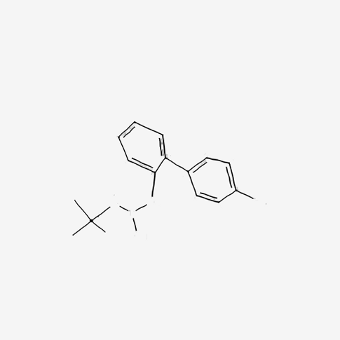 CC(C)(C)OP(O)Oc1ccccc1-c1ccc(F)cc1